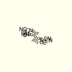 Cc1ccc(C2(c3ccc(C)cc3)c3cc4c(cc3-c3cc5cc(/C=C6\C(=O)c7ccccc7C6=C(C#N)C#N)sc5cc32)C(c2ccc(C)cc2)(c2ccc(C)cc2)c2cc3sc(N/C=C5\C(=O)c6ccccc6C5=C(C#N)C#N)cc3cc2-4)cc1